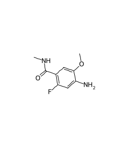 CNC(=O)c1cc(OC)c(N)cc1F